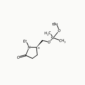 [CH2]CN1C(=O)CC[C@@H]1CO[Si](C)(C)OC(C)(C)C